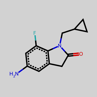 Nc1cc(F)c2c(c1)CC(=O)N2CC1CC1